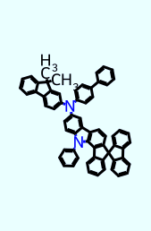 CC1(C)c2ccccc2-c2ccc(N(c3ccc(-c4ccccc4)cc3)c3ccc4c(c3)c3ccc5c(c3n4-c3ccccc3)-c3ccccc3C53c4ccccc4-c4ccccc43)cc21